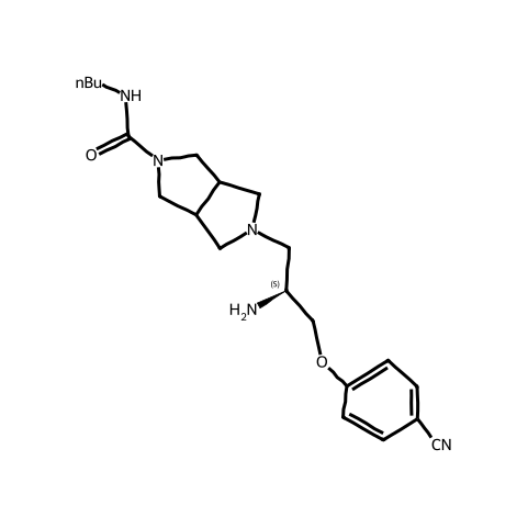 CCCCNC(=O)N1CC2CN(C[C@H](N)COc3ccc(C#N)cc3)CC2C1